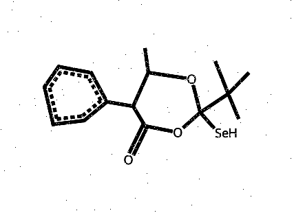 CC1OC([SeH])(C(C)(C)C)OC(=O)C1c1ccccc1